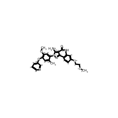 COCCOc1ccc2c(c1)[nH]c(=O)c1c(N)n(-c3cc(OC)c(Oc4cccnc4)cc3C)nc12